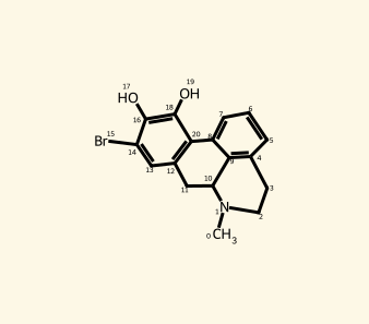 CN1CCc2cccc3c2C1Cc1cc(Br)c(O)c(O)c1-3